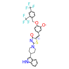 COc1cc(/C=C2/SC(N3CCC(c4c[nH]c5ccccc45)CC3)=NC2=O)ccc1OCc1ccc(C(F)(F)F)cc1C(F)(F)F